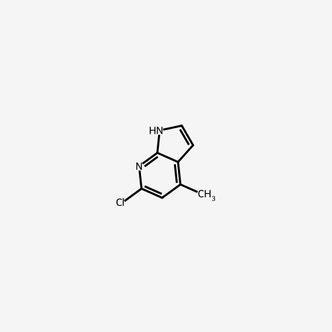 Cc1cc(Cl)nc2[nH]ccc12